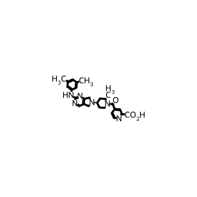 Cc1cc(C)cc(Nc2ncc3c(n2)CN([C@@H]2CCN(C(=O)c4ccnc(C(=O)O)c4)[C@H](C)C2)C3)c1